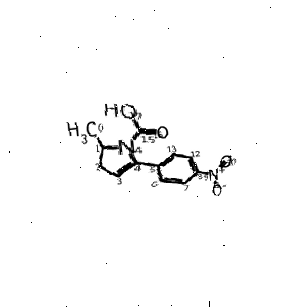 CC1CC=C(c2ccc([N+](=O)[O-])cc2)N1C(=O)O